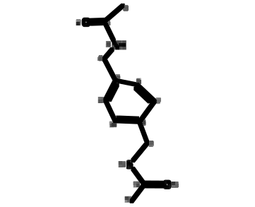 CC(=O)NCc1ccc(CSC(C)=O)cc1